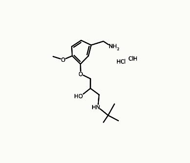 COc1ccc(CN)cc1OCC(O)CNC(C)(C)C.Cl.Cl